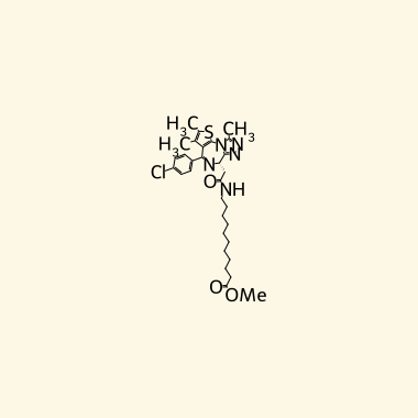 COC(=O)CCCCCCCCCCNC(=O)C[C@@H]1N=C(c2ccc(Cl)cc2)c2c(sc(C)c2C)-n2c(C)nnc21